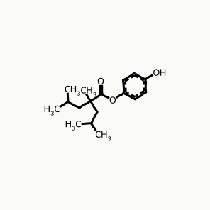 CC(C)CC(C)(CC(C)C)C(=O)Oc1ccc(O)cc1